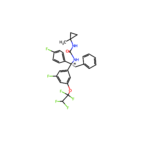 CC1(NC(=O)N[C@](Cc2ccccc2)(c2ccc(F)cc2)c2cc(F)cc(OC(F)(F)C(F)F)c2)CC1